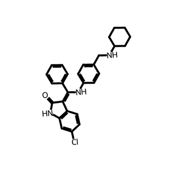 O=C1Nc2cc(Cl)ccc2C1=C(Nc1ccc(CNC2CCCCC2)cc1)c1ccccc1